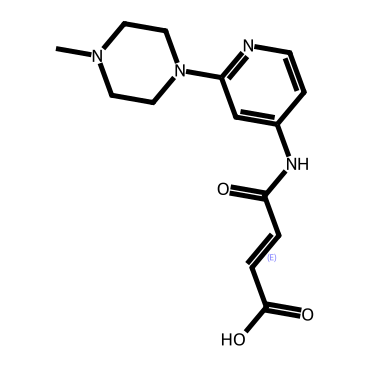 CN1CCN(c2cc(NC(=O)/C=C/C(=O)O)ccn2)CC1